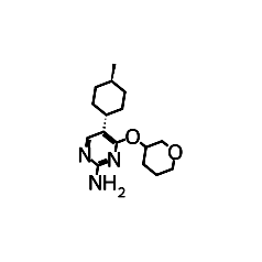 C[C@H]1CC[C@H](c2cnc(N)nc2OC2CCCOC2)CC1